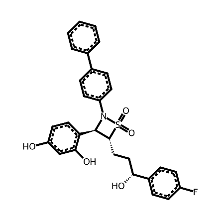 O=S1(=O)[C@H](CC[C@@H](O)c2ccc(F)cc2)[C@@H](c2ccc(O)cc2O)N1c1ccc(-c2ccccc2)cc1